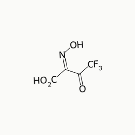 O=C(O)C(=NO)C(=O)C(F)(F)F